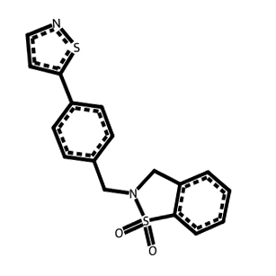 O=S1(=O)c2ccccc2CN1Cc1ccc(-c2ccns2)cc1